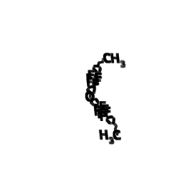 CCCCc1ccc(C(F)(F)C(F)(F)C(F)(F)c2ccc(Oc3ccc(C(F)(F)C(F)(F)C(F)(F)c4ccc(CCCC)cc4)cc3)cc2)cc1